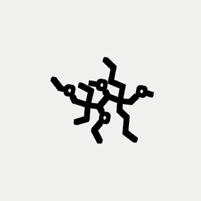 CCCCC(CCCC)(COC)C(OC)C(OCC)C(CC)(CC)COCC